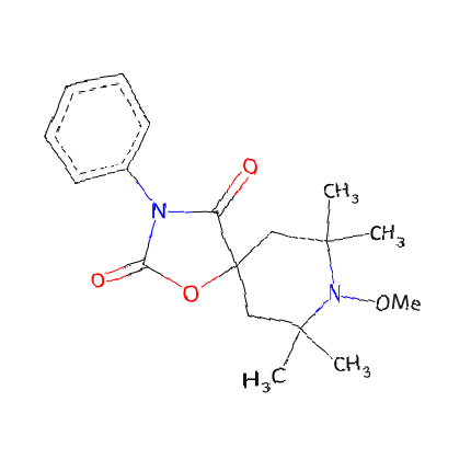 CON1C(C)(C)CC2(CC1(C)C)OC(=O)N(c1ccccc1)C2=O